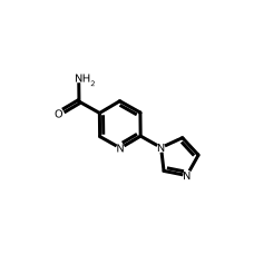 NC(=O)c1ccc(-n2ccnc2)nc1